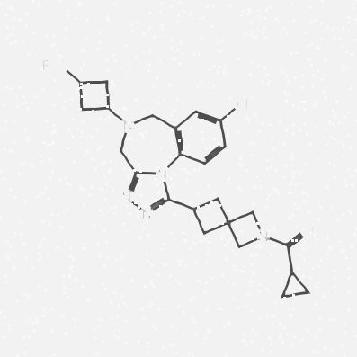 O=C(C1CC1)N1CC2(CC(c3nnc4n3-c3ccc(Cl)cc3CN(C3CC(C(F)(F)F)C3)C4)C2)C1